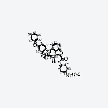 CC(=O)N[C@H]1CC[C@@H](CC(=O)c2sc3nccc4c3c2NC(=O)N4c2ccc(Oc3ccccc3)cc2C)CC1